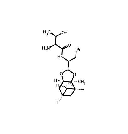 CC(C)C[C@H](NC(=O)[C@@H](N)[C@@H](C)O)B1O[C@@H]2C[C@@H]3C[C@@H](C3(C)C)[C@]2(C)O1